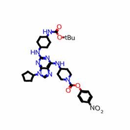 CC(C)(C)OC(=O)NC1CCC(Nc2nc(NC3CCN(C(=O)Oc4ccc([N+](=O)[O-])cc4)CC3)c3ncn(C4CCCC4)c3n2)CC1